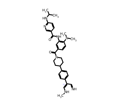 CN/C=C(\C=N)c1ccc(C2CCN(C(=O)c3ccc(N(C)C)c(NC(=O)c4ccc(NC(C)C)nc4)c3)CC2)cc1